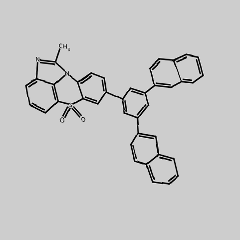 Cc1nc2cccc3c2n1-c1ccc(-c2cc(-c4ccc5ccccc5c4)cc(-c4ccc5ccccc5c4)c2)cc1S3(=O)=O